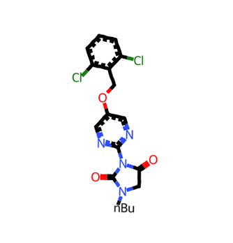 CCCCN1CC(=O)N(c2ncc(OCc3c(Cl)cccc3Cl)cn2)C1=O